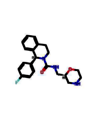 O=C(NC[C@H]1CNCCO1)N1CCc2ccccc2[C@@H]1c1ccc(F)cc1